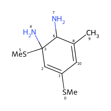 CSC1=CC(N)(SC)C(N)C(C)=C1